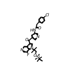 CC(C)(CO[Si](C)(C)C(C)(C)C)n1cc(C(=O)c2cncc(NC(=O)Cc3ccc(Cl)cc3)c2)c2cncc(F)c21